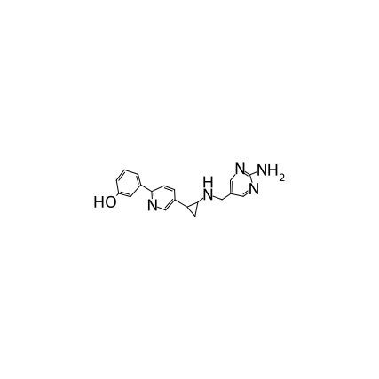 Nc1ncc(CNC2CC2c2ccc(-c3cccc(O)c3)nc2)cn1